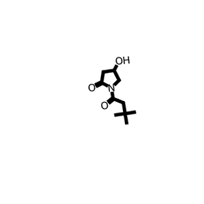 CC(C)(C)CC(=O)N1CC(O)CC1=O